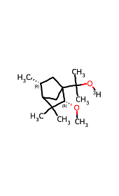 [3H]OC(C)(C)C12CC([C@H](C)C1)C(C)(C)[C@H]2OC